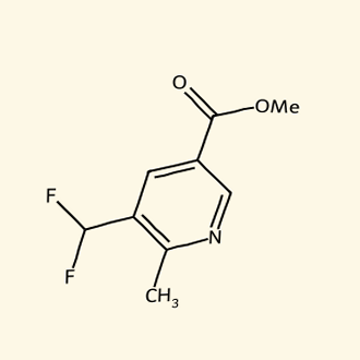 COC(=O)c1cnc(C)c(C(F)F)c1